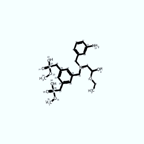 CCOC(O)CN(Cc1cccc(N)c1)Cc1cc(CP(=O)(O)OC)cc(CP(=O)(O)OC)c1